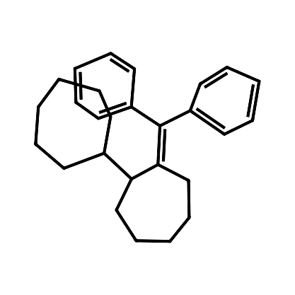 c1ccc(C(=C2CCCCCC2C2CCCCCC2)c2ccccc2)cc1